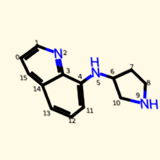 c1cnc2c(NC3CCNC3)cccc2c1